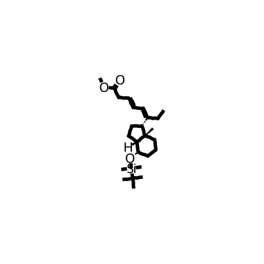 CC/C(=C/C=C/CC(=O)OC)[C@H]1CC[C@H]2[C@@H](O[Si](C)(C)C(C)(C)C)CCC[C@@]12C